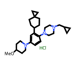 COC1CCN(c2ccc(N3CCN(CC4CC4)CC3)c(C3CCC4(CC3)CC4)c2)CC1.Cl